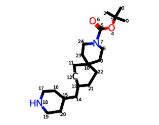 CC(C)(C)OC(=O)N1CCC2(CCC(CC3CCNCC3)CC2)CC1